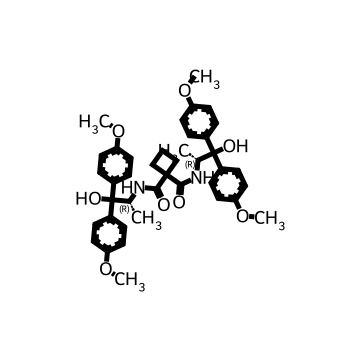 COc1ccc(C(O)(c2ccc(OC)cc2)[C@@H](C)NC(=O)C2(C(=O)N[C@H](C)C(O)(c3ccc(OC)cc3)c3ccc(OC)cc3)CCC2)cc1